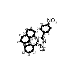 O=[N+]([O-])c1ccc(-c2nnn(-c3ccccc3)[n+]2-c2cccc3ccccc23)cc1.[Cl-]